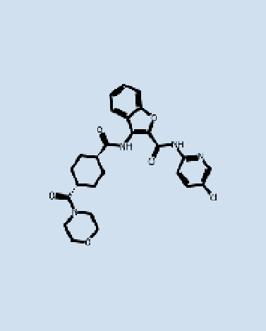 O=C(Nc1ccc(Cl)cn1)c1oc2ccccc2c1NC(=O)[C@H]1CC[C@H](C(=O)N2CCOCC2)CC1